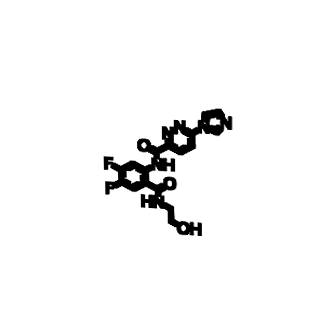 O=C(Nc1cc(F)c(F)cc1C(=O)NCCO)c1ccc(-n2ccnc2)nn1